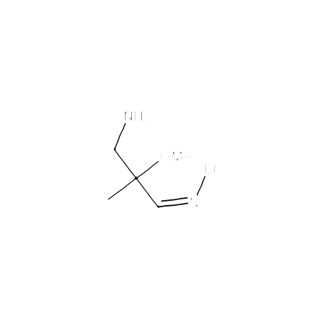 CC/N=C\C(C)(CN)OC